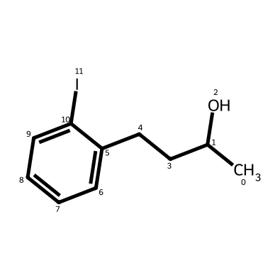 CC(O)CCc1ccccc1I